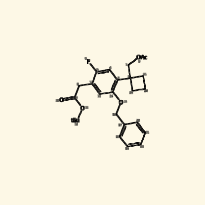 CC(=O)OCC1(c2cc(F)c(CC(=O)OC(C)(C)C)cc2OCc2ccccc2)CCC1